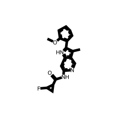 COc1ccccc1-c1[nH]c2cc(NC(=O)C3CC3F)ncc2c1C